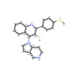 CSc1ccc(-c2nc3ccccc3c(-n3ccc4cnccc43)c2F)cc1